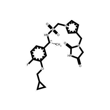 C[C@@H](NS(=O)(=O)Cn1ccc(CN2CC(=O)NC2=O)c1)c1ccc(F)c(OCC2CC2)c1